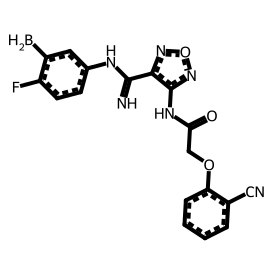 Bc1cc(NC(=N)c2nonc2NC(=O)COc2ccccc2C#N)ccc1F